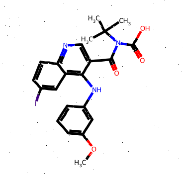 COc1cccc(Nc2c(C(=O)N(C(=O)O)C(C)(C)C)cnc3ccc(I)cc23)c1